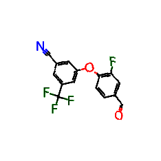 N#Cc1cc(Oc2ccc(C=O)cc2F)cc(C(F)(F)F)c1